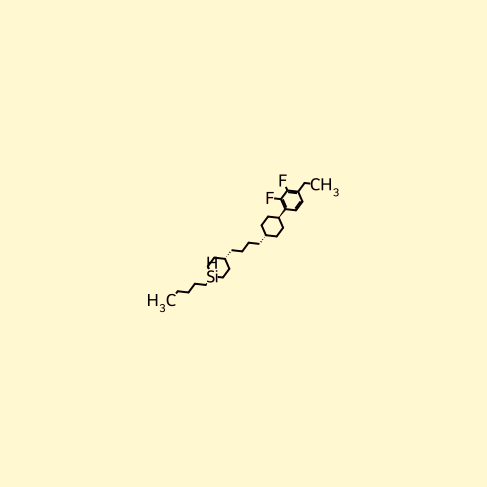 CCCCC[Si@H]1CC[C@H](CCCC[C@H]2CC[C@H](c3ccc(CC)c(F)c3F)CC2)CC1